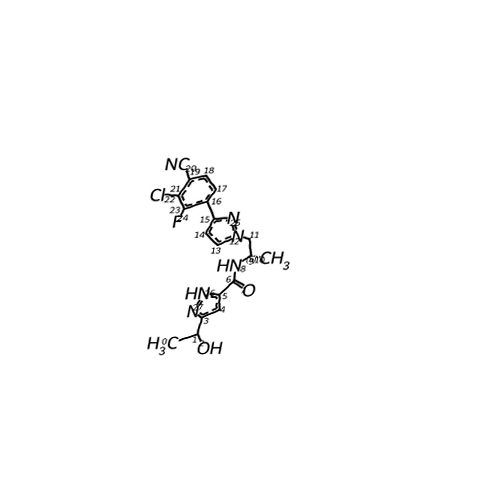 CC(O)c1cc(C(=O)N[C@@H](C)Cn2ccc(-c3ccc(C#N)c(Cl)c3F)n2)[nH]n1